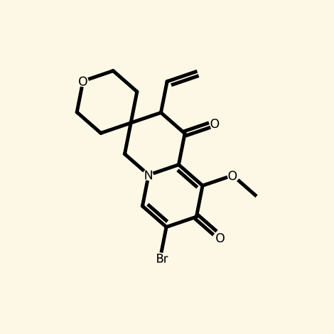 C=CC1C(=O)c2c(OC)c(=O)c(Br)cn2CC12CCOCC2